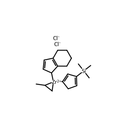 C[CH]1[CH2][Zr+2]1([C]1=CC([Si](C)(C)C)=CC1)[CH]1C=CC2=C1CCCC2.[Cl-].[Cl-]